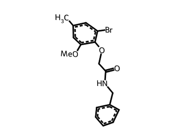 COc1cc(C)cc(Br)c1OCC(=O)NCc1ccccc1